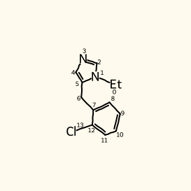 CCn1cncc1Cc1ccccc1Cl